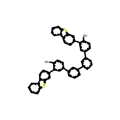 CC(C)(C)c1ccc(-c2cccc(-c3cccc(-c4ccc(C(C)(C)C)c(-c5ccc6c(c5)sc5ccccc56)c4)c3)c2)cc1-c1ccc2c(c1)sc1ccccc12